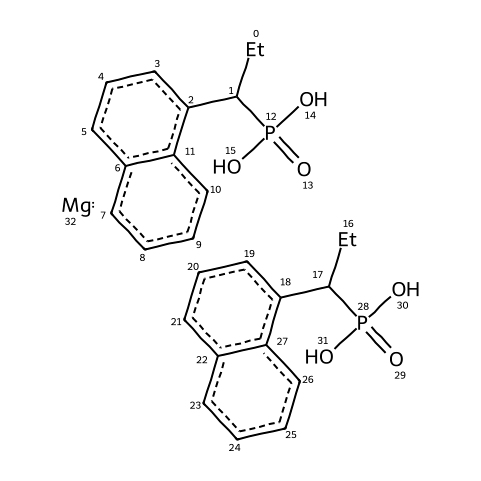 CCC(c1cccc2ccccc12)P(=O)(O)O.CCC(c1cccc2ccccc12)P(=O)(O)O.[Mg]